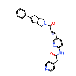 O=C(Cc1ccncc1)Nc1ccc(/C=C/C(=O)N2CC3C=C(c4ccccc4)CC3C2)cn1